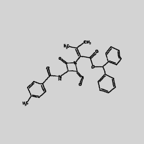 CC(C)=C(C(=O)OC(c1ccccc1)c1ccccc1)N1C(=O)C(NC(=O)c2ccc(C)cc2)C1=S=O